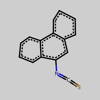 S=C=Nc1cc2ccccc2c2ccccc12